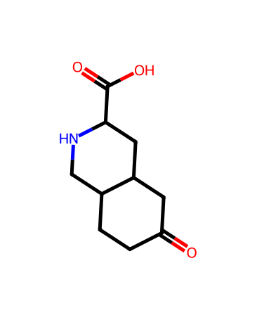 O=C1CCC2CNC(C(=O)O)CC2C1